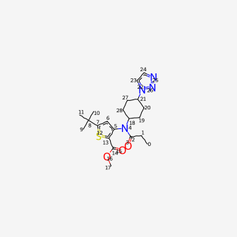 CCC(=O)N(c1cc(C(C)(C)C)sc1C(=O)OC)C1CCC(n2ccnn2)CC1